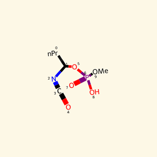 CCCC(N=C=O)OP(=O)(O)OC